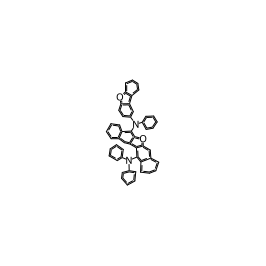 c1ccc(N(c2ccc3oc4ccccc4c3c2)c2c3ccccc3cc3c2oc2cc4ccccc4c(N(c4ccccc4)c4ccccc4)c23)cc1